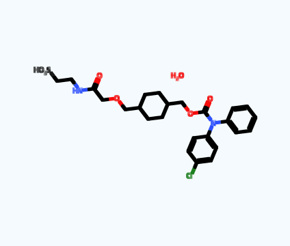 O.O=C(COCC1CCC(COC(=O)N(c2ccccc2)c2ccc(Cl)cc2)CC1)NCCS(=O)(=O)O